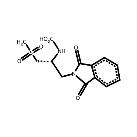 CS(=O)(=O)C[C@@H](CN1C(=O)c2ccccc2C1=O)NC(=O)O